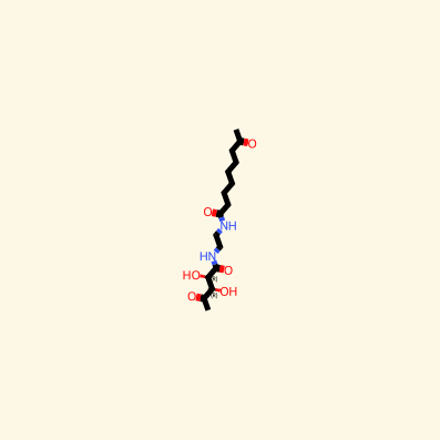 CC(=O)CCCCCCC(=O)NCCNC(=O)[C@H](O)[C@@H](O)C(C)=O